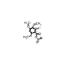 CCc1cc(OC)c(OC)c(I)c1C(=O)O[N+](=O)[O-]